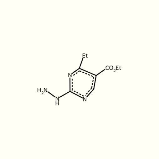 CCOC(=O)c1cnc(NN)nc1CC